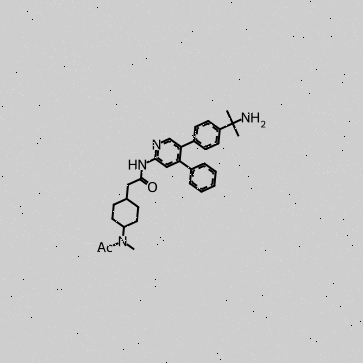 CC(=O)N(C)C1CCC(CC(=O)Nc2cc(-c3ccccc3)c(-c3ccc(C(C)(C)N)cc3)cn2)CC1